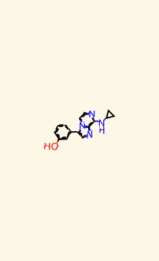 Oc1cccc(-c2cnc3c(NC4CC4)nccn23)c1